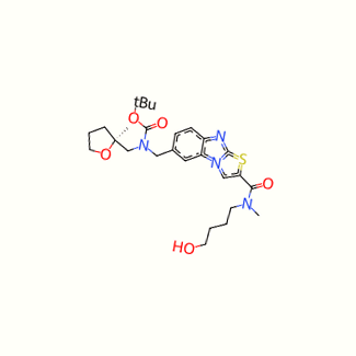 CN(CCCCO)C(=O)c1cn2c(nc3ccc(CN(C[C@]4(C)CCCO4)C(=O)OC(C)(C)C)cc32)s1